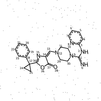 N=C(Nc1ccccn1)N1CCN(/C=C2/N=C(C3(c4ccccc4)CC3)OC2=O)CC1